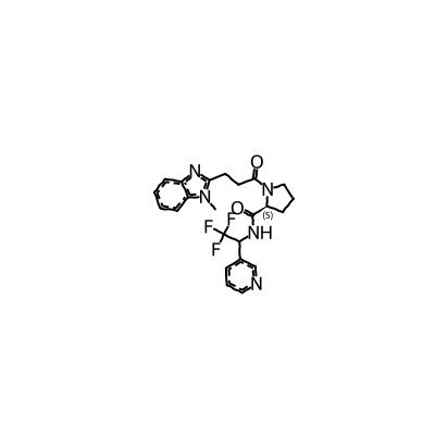 Cn1c(CCC(=O)N2CCC[C@H]2C(=O)NC(c2cccnc2)C(F)(F)F)nc2ccccc21